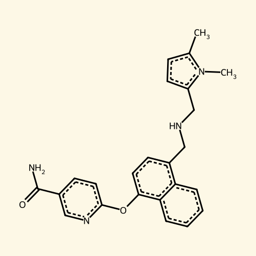 Cc1ccc(CNCc2ccc(Oc3ccc(C(N)=O)cn3)c3ccccc23)n1C